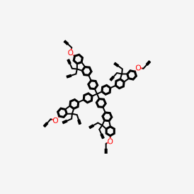 C#CCOc1ccc2c(c1)C(CC#C)(CC#C)c1cc(-c3ccc(C(c4ccc(-c5ccc6c(c5)C(CC#C)(CC#C)c5cc(OCC#C)ccc5-6)cc4)(c4ccc(-c5ccc6c(c5)C(CC#C)(CC#C)c5cc(OCC#C)ccc5-6)cc4)c4ccc(-c5ccc6c(c5)C(CC#C)(CC#C)c5cc(OCC#C)ccc5-6)cc4)cc3)ccc1-2